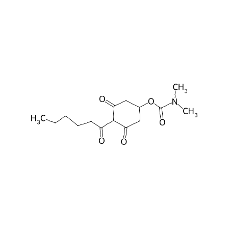 CCCCCC(=O)C1C(=O)CC(OC(=O)N(C)C)CC1=O